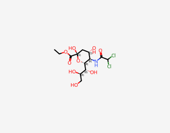 CCOC(=O)[C@]1(O)C[C@H](O)[C@@H](NC(=O)C(Cl)Cl)[C@H]([C@H](O)[C@H](O)CO)O1